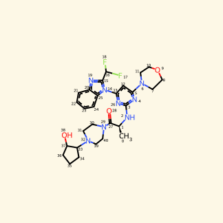 C[C@H](Nc1nc(N2CCOCC2)cc(-n2c(C(F)F)nc3ccccc32)n1)C(=O)N1CCN(C2CCCC2O)CC1